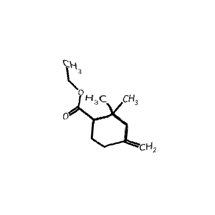 C=C1CCC(C(=O)OCC)C(C)(C)C1